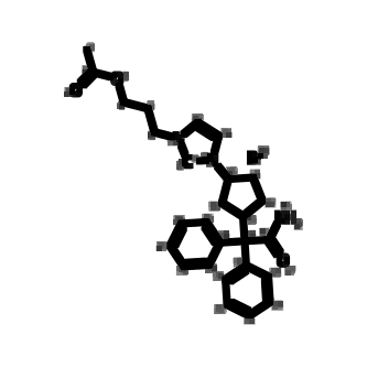 CC(=O)OCCCN1[C+]N(C2CCC(C(C(N)=O)(c3ccccc3)c3ccccc3)C2)C=C1.[Br-]